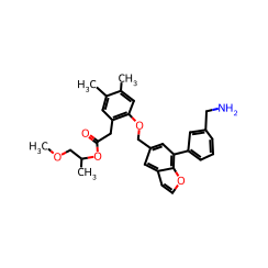 COCC(C)OC(=O)Cc1cc(C)c(C)cc1OCc1cc(-c2cccc(CN)c2)c2occc2c1